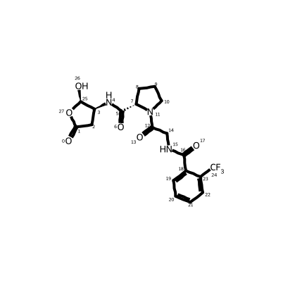 O=C1C[C@H](NC(=O)[C@@H]2CCCN2C(=O)CNC(=O)c2ccccc2C(F)(F)F)[C@H](O)O1